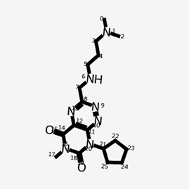 CN(C)CCCNCc1nnc2c(n1)c(=O)n(C)c(=O)n2C1CCCC1